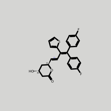 O=C1C[C@H](O)C[C@@H](/C=C/C(=C(c2ccc(F)cc2)c2ccc(F)cc2)c2cccs2)O1